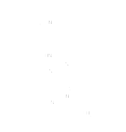 C=CCN1Sc2cnc(Nc3ccc4c(c3)N(C)CCC4)nc2-c2cccnc21